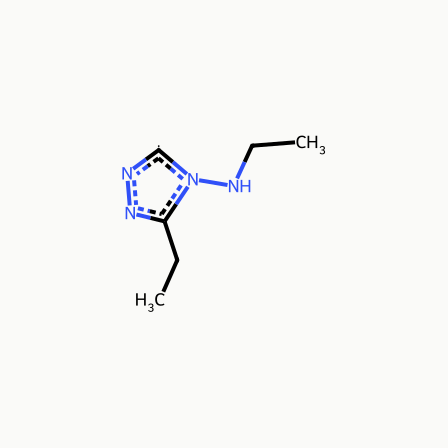 CCNn1[c]nnc1CC